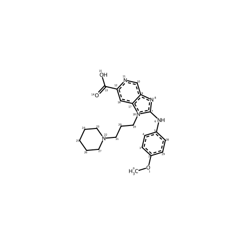 COc1ccc(Nc2nc3cnc(C(=O)O)cc3n2CCCN2CCCCC2)cc1